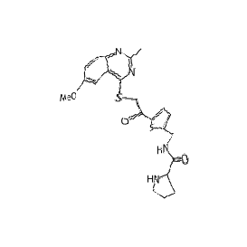 COc1ccc2nc(C)nc(SCC(=O)c3ccc(CNC(=O)C4CCCN4)s3)c2c1